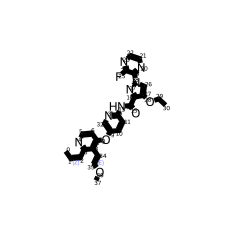 C/C=C\c1nccc(Oc2ccc(NC(=O)c3nn(-c4nccnc4F)cc3OCC)nc2)c1/C=C/OC